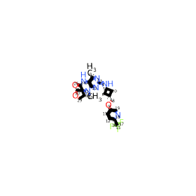 Cc1nc(N[C@H]2C[C@@H](COc3ccc(C(F)(F)F)nc3)C2)nc2c1NC(=O)C1(CCOC1)N2C